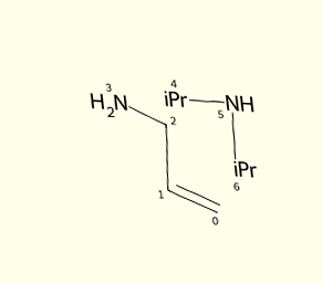 C=CCN.CC(C)NC(C)C